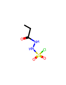 CCC(=O)NNS(=O)(=O)Cl